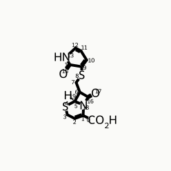 O=C(O)C1=CCS[C@H]2C(CSc3ccc[nH]c3=O)C(=O)N12